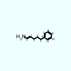 N/C=C/CCCc1ccccc1